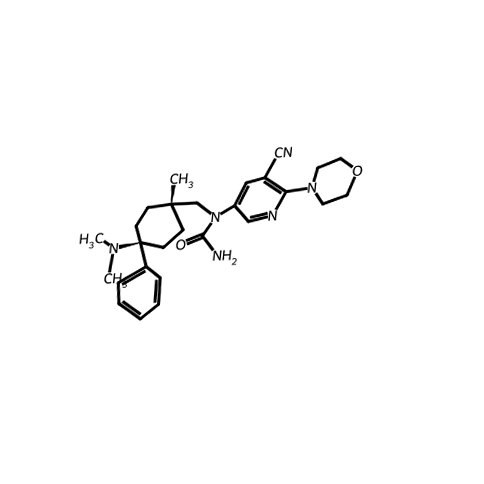 CN(C)[C@]1(c2ccccc2)CC[C@@](C)(CN(C(N)=O)c2cnc(N3CCOCC3)c(C#N)c2)CC1